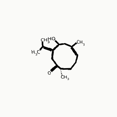 CC1=CCC[C@H](C)C(=O)CC(=C(C)C)C(O)C1